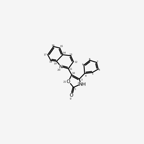 O=c1[nH]c(-c2ccccc2)c(-c2ccc3ccccc3n2)o1